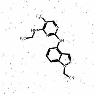 N#CCn1ncc2c(Nc3ncc(C(F)(F)F)c(NCC(F)(F)F)n3)cccc21